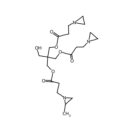 CC1CN1CCC(=O)OCC(CO)(COC(=O)CCN1CC1)COC(=O)CCN1CC1